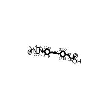 CC(=O)N1CCN(c2ccc(C#Cc3ccc(C=CC(=O)O)cc3)cc2)CC1